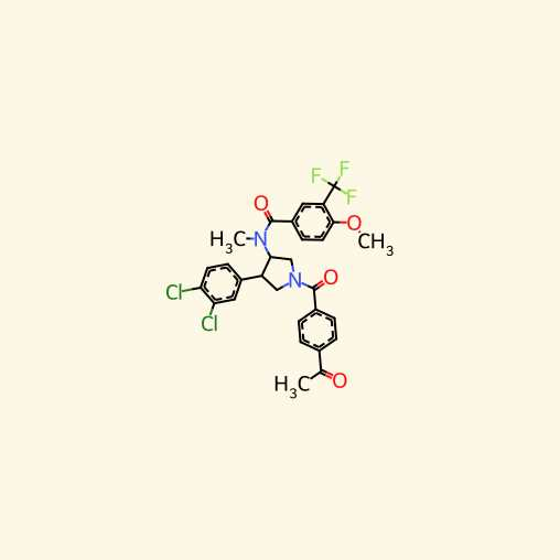 COc1ccc(C(=O)N(C)C2CN(C(=O)c3ccc(C(C)=O)cc3)CC2c2ccc(Cl)c(Cl)c2)cc1C(F)(F)F